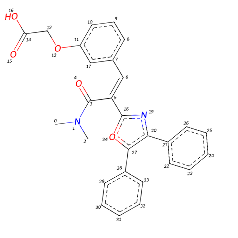 CN(C)C(=O)C(=Cc1cccc(OCC(=O)O)c1)c1nc(-c2ccccc2)c(-c2ccccc2)o1